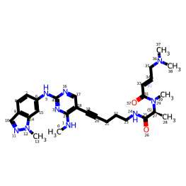 CNc1nc(Nc2ccc3cnn(C)c3c2)ncc1C#CCCCNC(=O)[C@H](C)N(C)C(=O)/C=C/CN(C)C